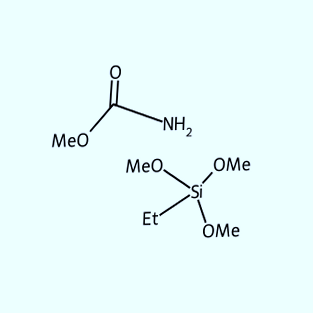 CC[Si](OC)(OC)OC.COC(N)=O